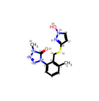 Cc1cccc(-n2nnn(C)c2=O)c1CSc1ccn(O)n1